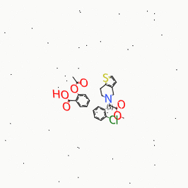 CC(=O)Oc1ccccc1C(=O)O.COC(=O)[C@H](c1ccccc1Cl)N1CCc2sccc2C1